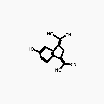 N#CC(C#N)=C1CC(=C(C#N)C#N)c2cc(O)ccc21